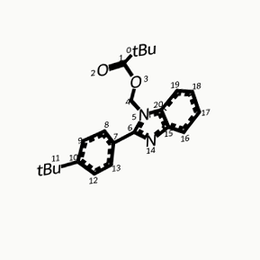 CC(C)(C)C(=O)OCn1c(-c2ccc(C(C)(C)C)cc2)nc2ccccc21